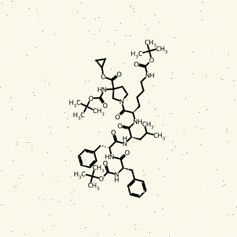 CC(C)C[C@@H](NC(=O)[C@@H](Cc1ccccc1)NC(=O)[C@@H](Cc1ccccc1)NC(=O)OC(C)(C)C)C(=O)N[C@H](CCCCNC(=O)OC(C)(C)C)C(=O)N1CCC(NC(=O)OC(C)(C)C)(C(=O)OC2CC2)C1